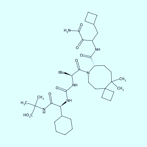 CC(C)(NC(=O)[C@@H](NC(=O)N[C@H](C(=O)N1CCC2(CCC2)C(C)(C)CC[C@H]1C(=O)NC(CC1CCC1)C(=O)C(N)=O)C(C)(C)C)C1CCCCC1)C(=O)O